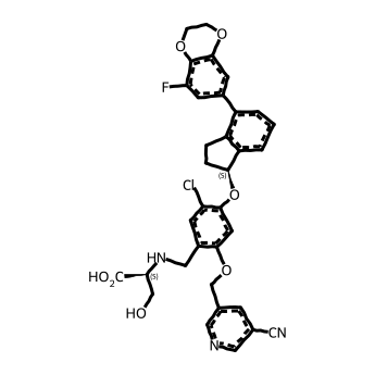 N#Cc1cncc(COc2cc(O[C@H]3CCc4c(-c5cc(F)c6c(c5)OCCO6)cccc43)c(Cl)cc2CN[C@@H](CO)C(=O)O)c1